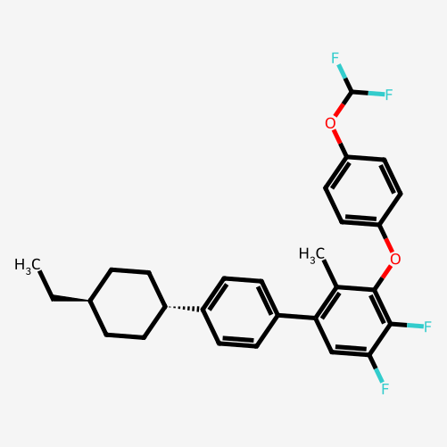 CC[C@H]1CC[C@H](c2ccc(-c3cc(F)c(F)c(Oc4ccc(OC(F)F)cc4)c3C)cc2)CC1